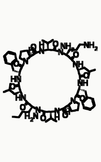 CCCC[C@H]1C(=O)N[C@@H](CC(C)C)C(=O)N[C@H](Cc2ccccc2)C(=O)N2CCC[C@H]2C(=O)N[C@@H](C(C)C)C(=O)N(N)[C@@H](CCCN)C(=O)N[C@@H](CC(C)C)C(=O)N[C@H](Cc2ccccc2)C(=O)N2CCC[C@H]2C(=O)N[C@@H](C(C)C)C(=O)N1N